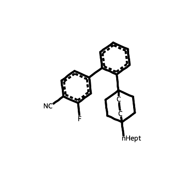 CCCCCCCC12CCC(c3ccccc3-c3ccc(C#N)c(F)c3)(CC1)CC2